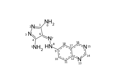 NC1=NN=C(N)C1=NNc1ccc2ncncc2c1